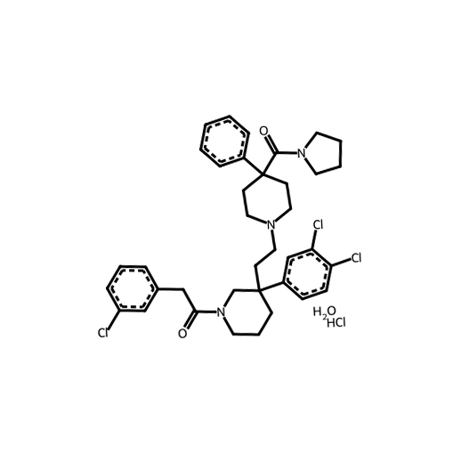 Cl.O.O=C(Cc1cccc(Cl)c1)N1CCCC(CCN2CCC(C(=O)N3CCCC3)(c3ccccc3)CC2)(c2ccc(Cl)c(Cl)c2)C1